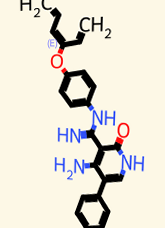 C=C/C=C(\C=C)Oc1ccc(NC(=N)c2c(N)c(-c3ccccc3)c[nH]c2=O)cc1